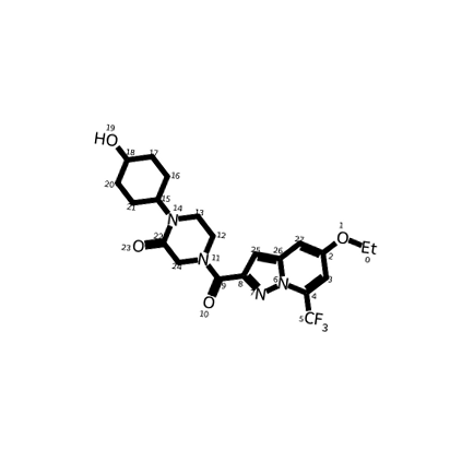 CCOc1cc(C(F)(F)F)n2nc(C(=O)N3CCN(C4CCC(O)CC4)C(=O)C3)cc2c1